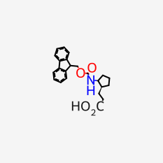 O=C(O)CC[C@@H]1CCC[C@@H]1NC(=O)OCC1c2ccccc2-c2ccccc21